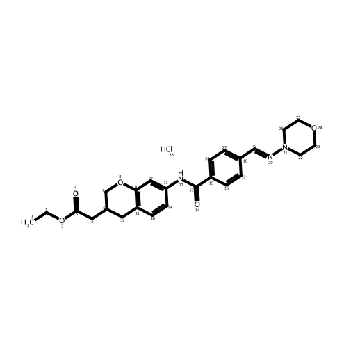 CCOC(=O)CC1COc2cc(NC(=O)c3ccc(/C=N/N4CCOCC4)cc3)ccc2C1.Cl